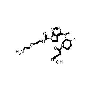 C[C@@H]1CCN(C(=O)CC#N)C[C@@H]1N(C)c1ncnc2c1ccn2C(=O)OCCOCCN.Cl